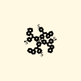 CSc1ccc(C(=Cc2cccc3ccccc23)c2cc[c]([Sn]([c]3ccc(C(=Cc4cccc5ccccc45)c4ccc(SC)cc4)cc3)([c]3ccc(C(=Cc4cccc5ccccc45)c4ccc(SC)cc4)cc3)[c]3ccc(C(=Cc4cccc5ccccc45)c4ccc(SC)cc4)cc3)cc2)cc1